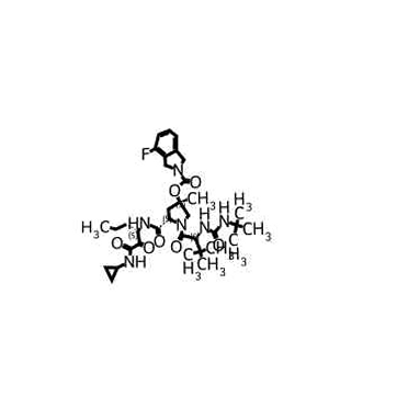 CCC[C@H](NC(=O)[C@@H]1C[C@](C)(OC(=O)N2Cc3cccc(F)c3C2)CN1C(=O)[C@@H](NC(=O)NC(C)(C)C)C(C)(C)C)C(=O)C(=O)NC1CC1